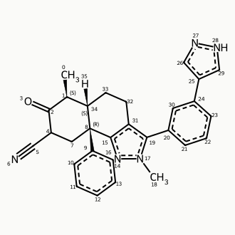 C[C@@H]1C(=O)C(C#N)C[C@@]2(c3ccccc3)c3nn(C)c(-c4cccc(-c5cn[nH]c5)c4)c3CC[C@@H]12